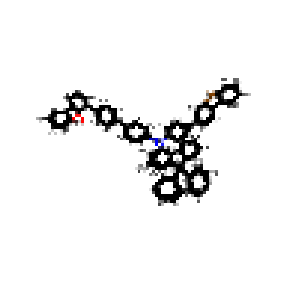 c1ccc(C2(c3ccccc3)c3ccccc3-c3c(N(c4ccc(-c5ccc(-c6cccc7c6oc6ccccc67)cc5)cc4)c4ccc(-c5ccc6c(c5)sc5ccccc56)cc4)cccc32)cc1